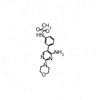 CS(=O)(=O)Nc1cccc(-c2cnc(N3CCOCC3)nc2N)c1